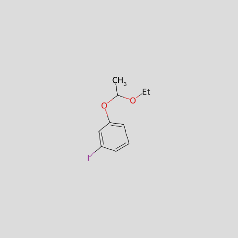 CCOC(C)Oc1cccc(I)c1